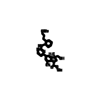 COCCCc1ccccc1Nc1nccc(-c2cc(C#N)c3c(c2)[C@@](C)(CO)CN3C(=O)OC(C)(C)C)n1